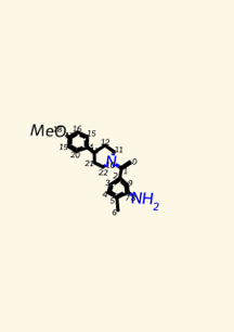 C=C(c1ccc(C)c(N)c1)N1CCC(c2ccc(OC)cc2)CC1